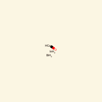 [BiH3].[InH3].[O]=[GaH]